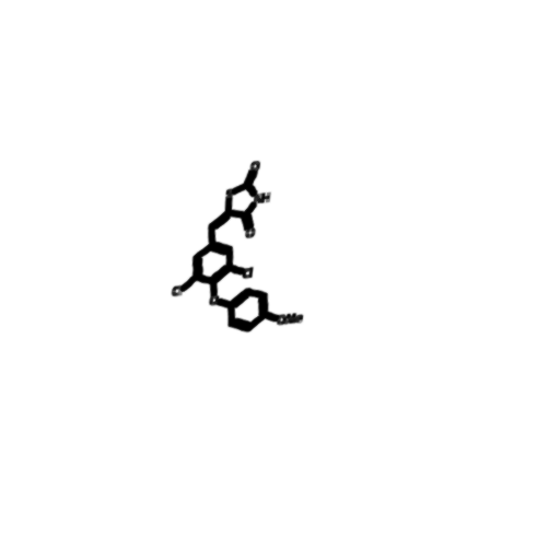 COc1ccc(Oc2c(Cl)cc(C=C3SC(=O)NC3=O)cc2Cl)cc1